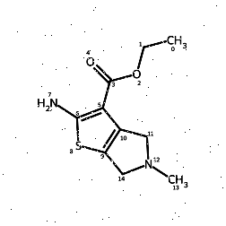 CCOC(=O)c1c(N)sc2c1CN(C)C2